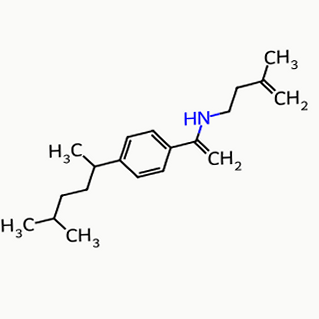 C=C(C)CCNC(=C)c1ccc(C(C)CCC(C)C)cc1